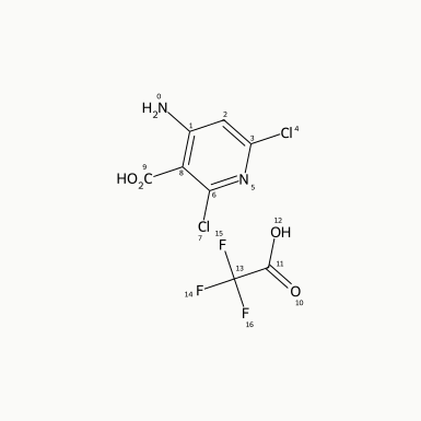 Nc1cc(Cl)nc(Cl)c1C(=O)O.O=C(O)C(F)(F)F